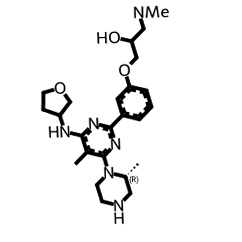 CNCC(O)COc1cccc(-c2nc(NC3CCOC3)c(C)c(N3CCNC[C@H]3C)n2)c1